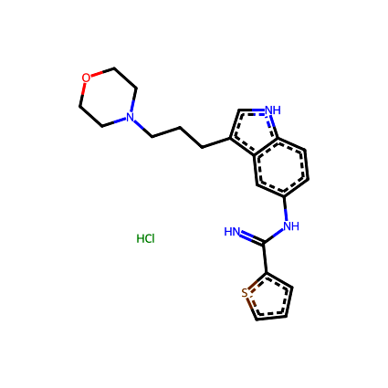 Cl.N=C(Nc1ccc2[nH]cc(CCCN3CCOCC3)c2c1)c1cccs1